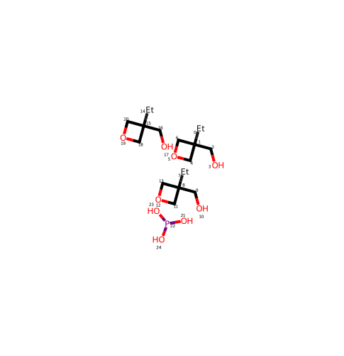 CCC1(CO)COC1.CCC1(CO)COC1.CCC1(CO)COC1.OP(O)O